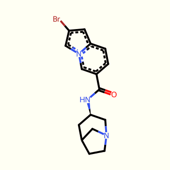 O=C(N[C@@H]1CC2CCN(C2)C1)c1ccc2cc(Br)cn2c1